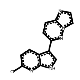 Clc1ccc2c(-c3ccc4nccn4n3)c[nH]c2n1